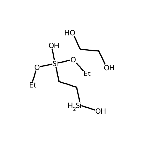 CCO[Si](O)(CC[SiH2]O)OCC.OCCO